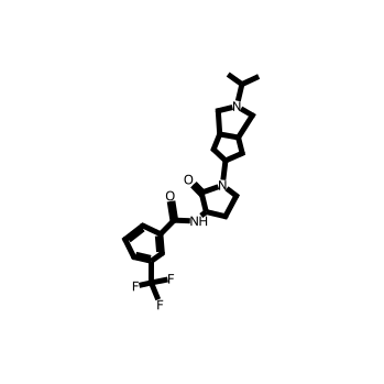 CC(C)N1CC2CC(N3CCC(NC(=O)c4cccc(C(F)(F)F)c4)C3=O)CC2C1